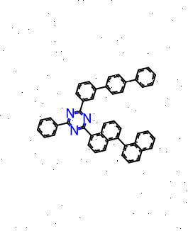 c1ccc(-c2ccc(-c3cccc(-c4nc(-c5ccccc5)nc(-c5cccc6c(-c7cccc8ccccc78)cccc56)n4)c3)cc2)cc1